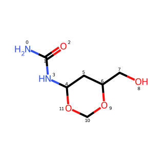 NC(=O)NC1CC(CO)OCO1